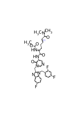 COC(=O)N[C@@H](CC/C=C/C(=O)N(C)C)C(=O)Nc1cncn(Cc2nc3cc(F)ccc3n2Cc2ccc(F)cc2F)c1=O